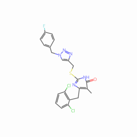 Cc1c(Cc2c(Cl)cccc2Cl)nc(SCc2cn(Cc3ccc(F)cc3)nn2)[nH]c1=O